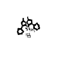 CC1=CC(c2ccccc2)=[C]([Ti]([CH3])([CH3])(=[SiH2])[C]2=C(c3ccccc3)C=C(C)C2)C1.Cl.Cl